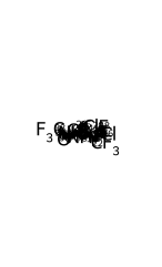 CC(C)(NC(=O)c1ccc(/C=C/C(c2cc(Cl)c(F)c(Cl)c2)C(F)(F)F)c2ccccc12)C(=O)NCC(F)(F)F